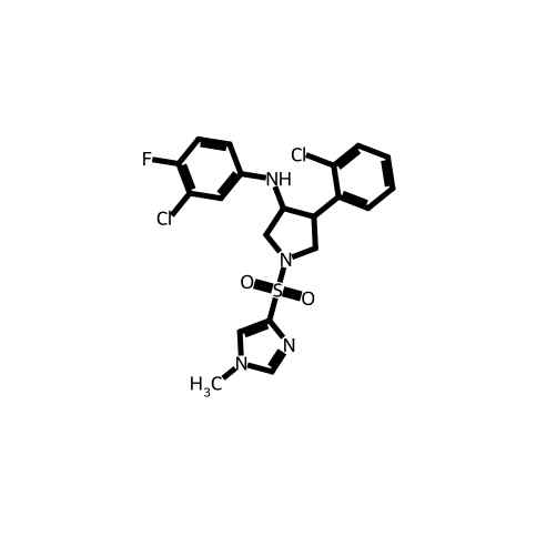 Cn1cnc(S(=O)(=O)N2CC(Nc3ccc(F)c(Cl)c3)C(c3ccccc3Cl)C2)c1